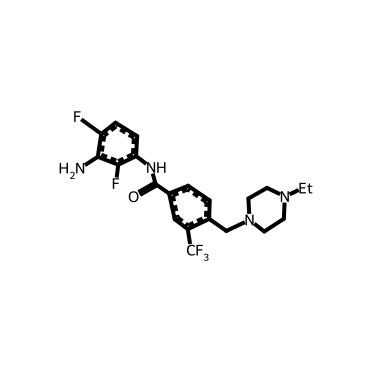 CCN1CCN(Cc2ccc(C(=O)Nc3ccc(F)c(N)c3F)cc2C(F)(F)F)CC1